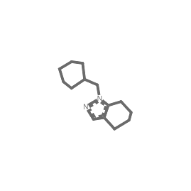 c1nn(CC2CCCCC2)c2c1CCCC2